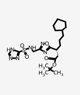 CC(C)(C)OC(=O)C[C@@H](CCCC1CCCCC1)c1nc(CNS(=O)(=O)c2nnc[nH]2)no1